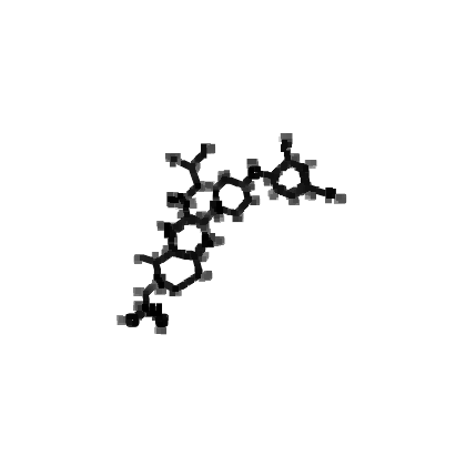 CC1c2nc(NCC(F)F)c(N3CCC(Oc4ccc(F)cc4F)CC3)nc2CCN1C[SH](=O)=O